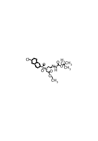 CCOC(=O)CN(CC=NNC(=O)OC(C)(C)C)S(=O)(=O)c1ccc2cc(Cl)ccc2c1